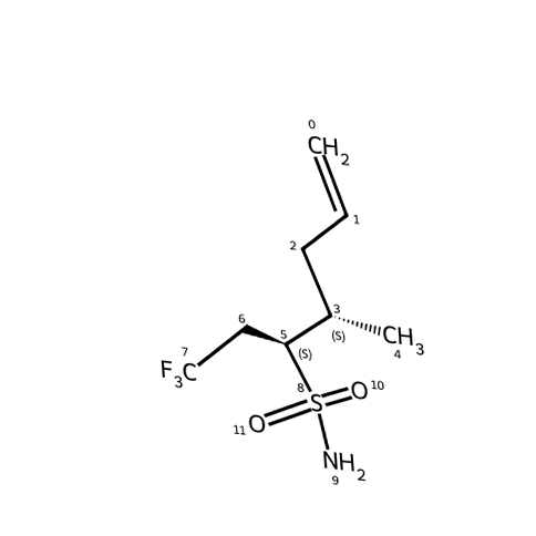 C=CC[C@H](C)[C@H](CC(F)(F)F)S(N)(=O)=O